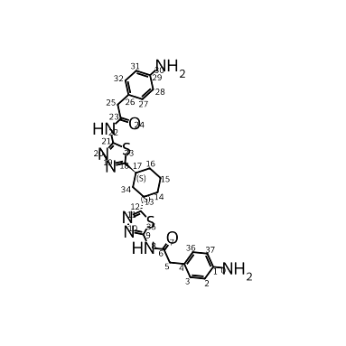 Nc1ccc(CC(=O)Nc2nnc([C@H]3CCC[C@H](c4nnc(NC(=O)Cc5ccc(N)cc5)s4)C3)s2)cc1